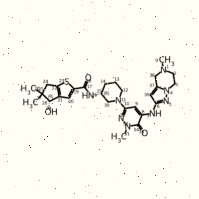 CN1CCn2nc(Nc3cc(N4CCC[C@@H](NC(=O)c5cc6c(s5)CC(C)(C)[C@H]6O)C4)nn(C)c3=O)cc2C1